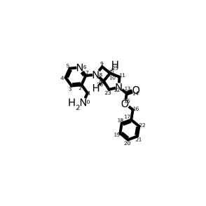 NCc1cccnc1N1C[C@H]2CN(C(=O)OCc3ccccc3)C[C@H]21